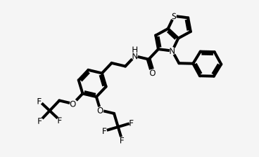 O=C(NCCc1ccc(OCC(F)(F)F)c(OCC(F)(F)F)c1)c1cc2sccc2n1Cc1ccccc1